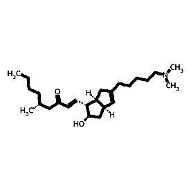 CCCC[C@@H](C)CC(=O)/C=C/[C@@H]1[C@H]2CC(CCCCCN(C)C)=C[C@H]2C[C@H]1O